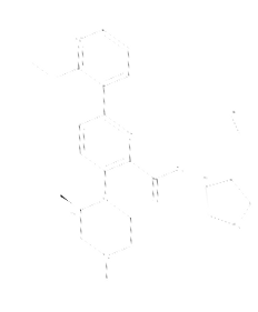 CCOc1ncccc1-c1ccc(N2CCN(C(=O)O)C[C@H]2CC)c(C(=O)N[C@@H]2CCNC2)n1.O=CO